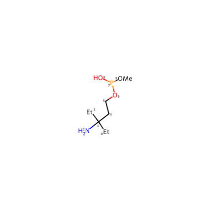 CCC(N)(CC)CCOP(O)OC